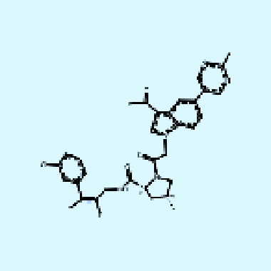 CC(=O)c1cn(CC(=O)N2C[C@H](F)C[C@H]2C(=O)NC/C(F)=C(/C)c2cccc(Cl)c2)c2ccc(-c3cnc(C)nc3)cc12